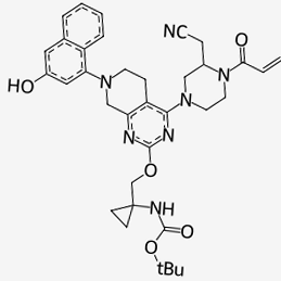 C=CC(=O)N1CCN(c2nc(OCC3(NC(=O)OC(C)(C)C)CC3)nc3c2CCN(c2cc(O)cc4ccccc24)C3)CC1CC#N